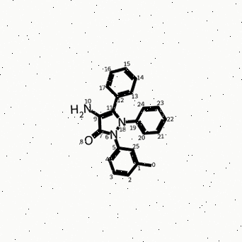 Cc1cccc(-n2c(=O)c(N)c(-c3ccccc3)n2-c2ccccc2)c1